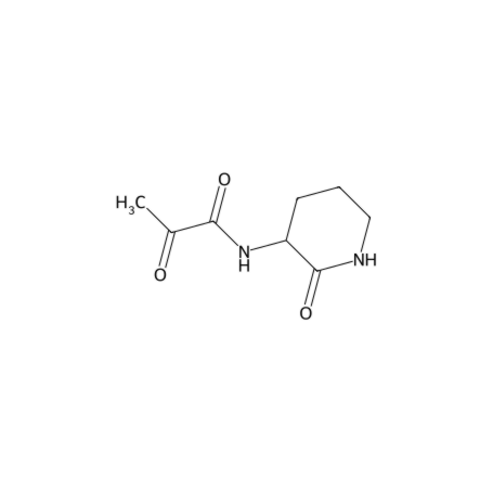 CC(=O)C(=O)NC1CCCNC1=O